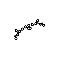 CC1(C)c2ccccc2-c2ccc(-n3c4ccccc4c4cc(-c5ccc(-c6ccc7c(c6)C6(CCc8ccccc86)c6cc(-c8ccc(-c9ccc%10c(c9)c9ccccc9n%10-c9ccc%10c(c9)C(C)(C)c9ccccc9-%10)cc8)ccc6-7)cc5)ccc43)cc21